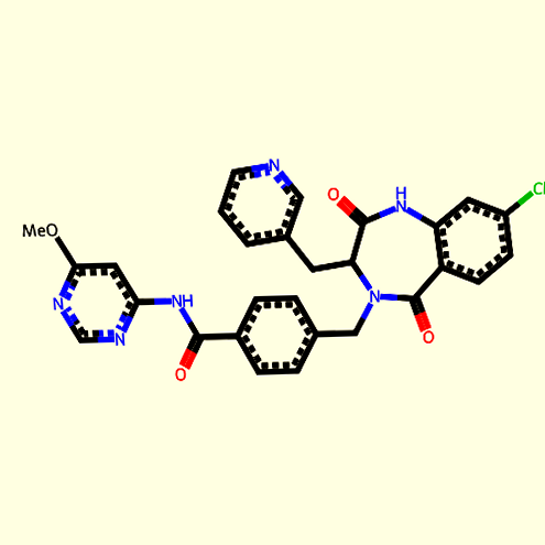 COc1cc(NC(=O)c2ccc(CN3C(=O)c4ccc(Cl)cc4NC(=O)C3Cc3cccnc3)cc2)ncn1